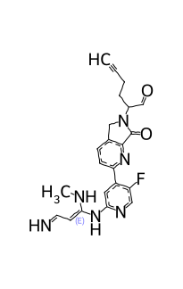 C#CCCC(C=O)N1Cc2ccc(-c3cc(N/C(=C/C=N)NC)ncc3F)nc2C1=O